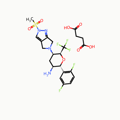 CS(=O)(=O)n1cc2c(n1)CN([C@@H]1C[C@H](N)[C@@H](c3cc(F)ccc3F)O[C@@H]1C(F)(F)F)C2.O=C(O)CCC(=O)O